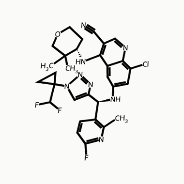 Cc1nc(F)ccc1[C@H](Nc1cc(Cl)c2ncc(C#N)c(N[C@H]3CCOCC3(C)C)c2c1)c1cn(C2(C(F)F)CC2)nn1